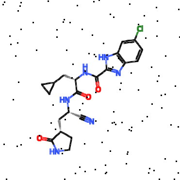 N#C[C@H](C[C@@H]1CCNC1=O)NC(=O)[C@H](CC1CC1)NC(=O)c1nc2ccc(Cl)cc2[nH]1